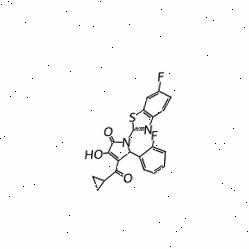 O=C(C1=C(O)C(=O)N(c2nc3ccc(F)cc3s2)C1c1ccccc1F)C1CC1